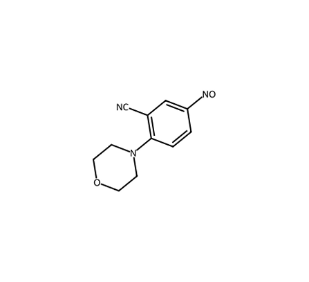 N#Cc1cc(N=O)ccc1N1CCOCC1